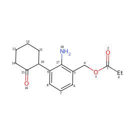 CCC(=O)OCc1cccc(C2CCCCC2=O)c1N